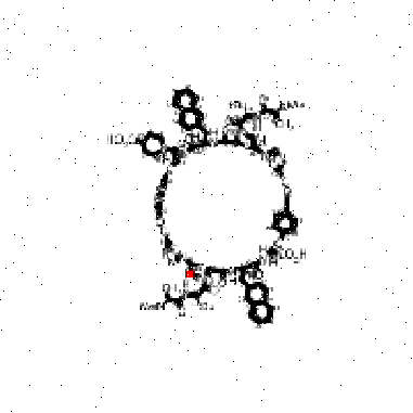 CN[C@@H](C)C(=O)N[C@H](C(=O)N1C[C@@H]2C[C@H]1C(=O)N[C@@H](Cc1ccc3ccccc3c1)C(=O)N[C@H](C(=O)O)Cc1ccc(cc1)OCc1cn(cn1)[C@H]1C[C@@H](C(=O)N[C@@H](Cc3ccc4ccccc4c3)C(=O)N[C@H](C(=O)N3CCC(C(=O)O)CC3)Cc3ccc(cc3)OCc3cn2nn3)N(C(=O)[C@@H](NC(=O)[C@H](C)NC)C(C)(C)C)C1)C(C)(C)C